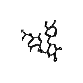 Cc1cc(OC(F)F)c(C)cc1Nc1nc(=O)c(Cl)cn1Cc1ccc(F)c(F)c1